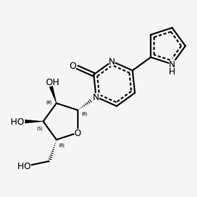 O=c1nc(-c2ccc[nH]2)ccn1[C@@H]1O[C@H](CO)[C@@H](O)[C@H]1O